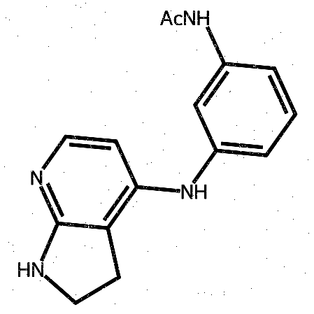 CC(=O)Nc1cccc(Nc2ccnc3c2CCN3)c1